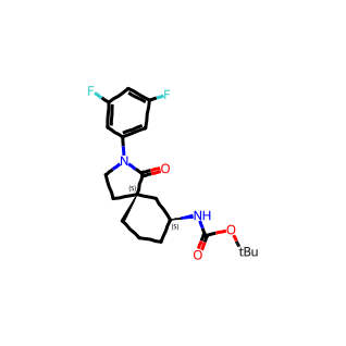 CC(C)(C)OC(=O)N[C@H]1CCC[C@]2(CCN(c3cc(F)cc(F)c3)C2=O)C1